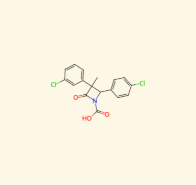 CC1(c2cccc(Cl)c2)C(=O)N(C(=O)O)C1c1ccc(Cl)cc1